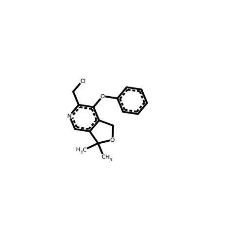 CC1(C)OCc2c1cnc(CCl)c2Oc1ccccc1